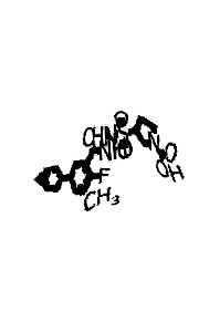 Cc1cc(-c2ccccc2)cc(C(=O)NNS(=O)(=O)C2CCN(C(=O)O)C2)c1F